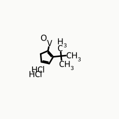 CC(C)(C)C1=[C]([V]=[O])CC=C1.Cl.Cl